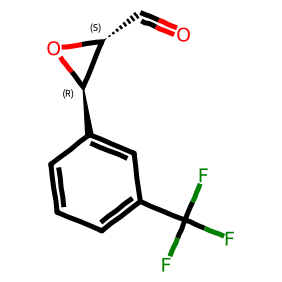 O=C[C@H]1O[C@@H]1c1cccc(C(F)(F)F)c1